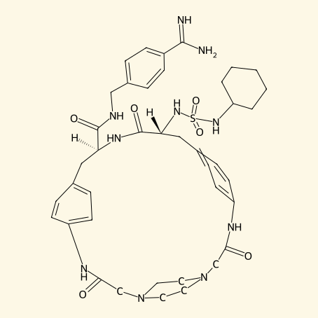 N=C(N)c1ccc(CNC(=O)[C@@H]2Cc3ccc(cc3)NC(=O)CN3CCN(CC3)CC(=O)Nc3ccc(cc3)C[C@@H](NS(=O)(=O)NC3CCCCC3)C(=O)N2)cc1